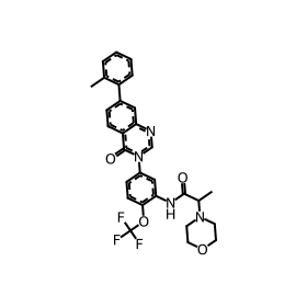 Cc1ccccc1-c1ccc2c(=O)n(-c3ccc(OC(F)(F)F)c(NC(=O)C(C)N4CCOCC4)c3)cnc2c1